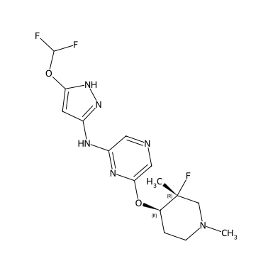 CN1CC[C@@H](Oc2cncc(Nc3cc(OC(F)F)[nH]n3)n2)[C@](C)(F)C1